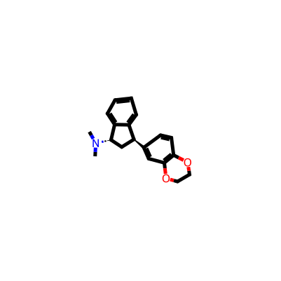 CN(C)[C@H]1C[C@H](c2ccc3c(c2)OCCO3)c2ccccc21